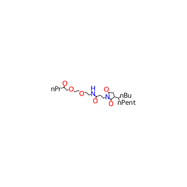 CCCCCC(CCCC)C1CC(=O)N(CCC(=O)NCCOCCOCC(=O)CCC)C1=O